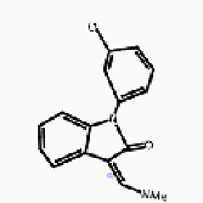 CN/C=C1\C(=O)N(c2cccc(Cl)c2)c2ccccc21